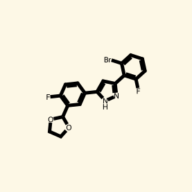 Fc1ccc(-c2cc(-c3c(F)cccc3Br)n[nH]2)cc1C1OCCO1